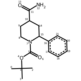 CC(C)(C)OC(=O)N1CCC(C(N)=O)CC1c1ccccc1